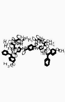 CN[C@@H](C)C(=O)N[C@H](C(=O)N1C[C@@H](NC(=O)c2ccc(C(=O)N[C@H]3C[C@@H](C(=O)N[C@H](c4ccccc4)c4ccc(OC)cc4)N(C(=O)[C@@H](NC(=O)[C@H](C)NC)C(C)(C)C)C3)cc2)C[C@H]1C(=O)N[C@H](c1ccccc1)c1ccc(OC)cc1)C(C)(C)C